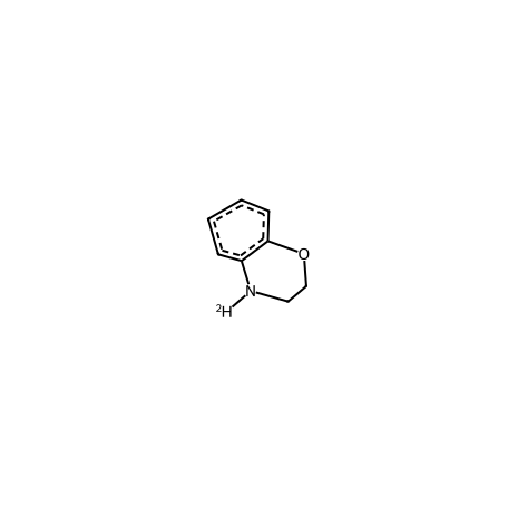 [2H]N1CCOc2ccccc21